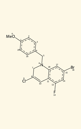 COc1ccc(CN2CC(Cl)=Cc3c(F)cc(Br)cc32)cc1